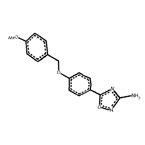 COc1ccc(COc2ccc(-c3nc(N)no3)cc2)cc1